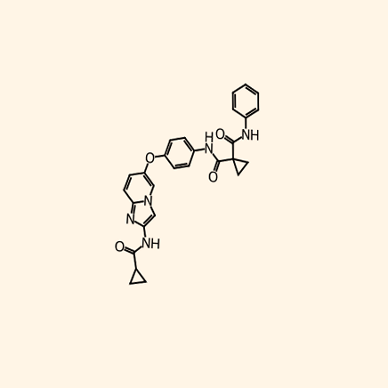 O=C(Nc1cn2cc(Oc3ccc(NC(=O)C4(C(=O)Nc5ccccc5)CC4)cc3)ccc2n1)C1CC1